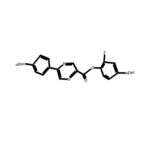 CCCCCCCCCCc1ccc(-c2cnc(C(=O)Oc3ccc(CCCCCCCCCC)cc3F)cn2)cc1